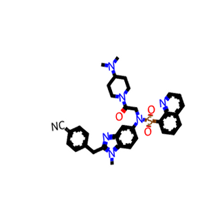 CN(C)C1CCN(C(=O)CN(c2ccc3c(c2)nc(Cc2ccc(C#N)cc2)n3C)S(=O)(=O)c2cccc3cccnc23)CC1